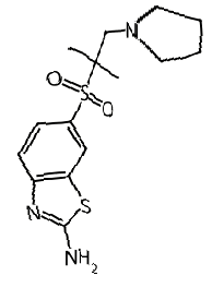 CC(C)(CN1CCCC1)S(=O)(=O)c1ccc2nc(N)sc2c1